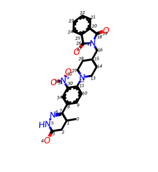 CC1CC(=O)NN=C1c1ccc(N2CCC(CN3C(=O)c4ccccc4C3=O)CC2)c([N+](=O)[O-])c1